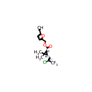 C#Cc1ccc(COC(=O)[C@@H]2[C@H](/C=C(\Cl)C(F)(F)F)C2(C)C)o1